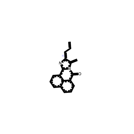 C=C/C=c1/nc2c3cccc4cccc(c(=O)n2c1=C)c43